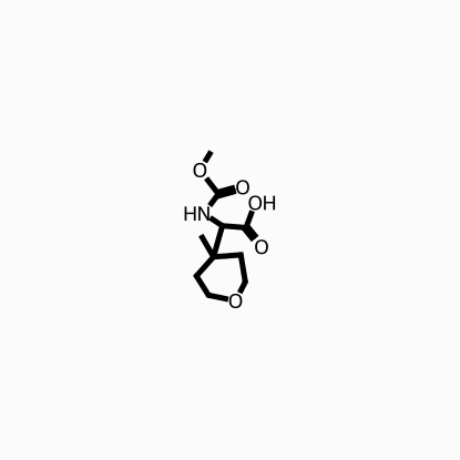 COC(=O)NC(C(=O)O)C1(C)CCOCC1